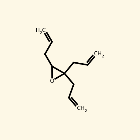 C=CCC1OC1(CC=C)CC=C